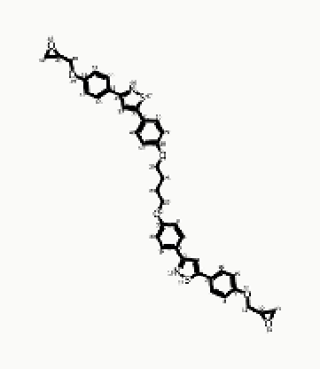 c1cc(-c2cc(-c3ccc(OCC4CO4)cc3)sn2)ccc1OCCCCOc1ccc(-c2cc(-c3ccc(OCC4CO4)cc3)ns2)cc1